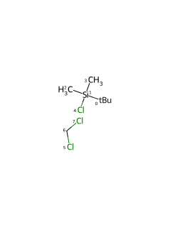 CC(C)(C)[Si](C)(C)Cl.ClCCl